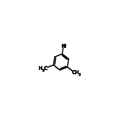 Cc1cc(C)c[c]([Ni])c1